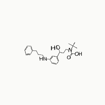 CC(C)(C)N(CCC(O)c1cccc(NCCCc2ccccc2)c1)C(=O)O